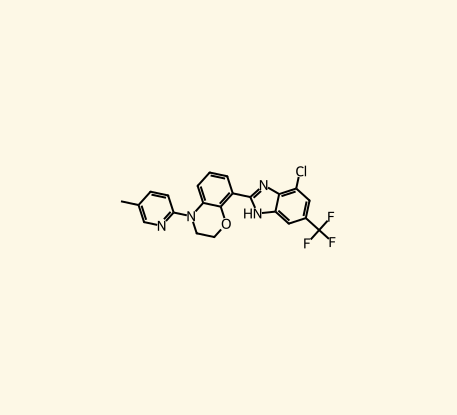 Cc1ccc(N2CCOc3c(-c4nc5c(Cl)cc(C(F)(F)F)cc5[nH]4)cccc32)nc1